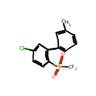 Cc1cccc(-c2cc(Cl)[c]cc2S(=O)(=O)C(F)(F)F)c1